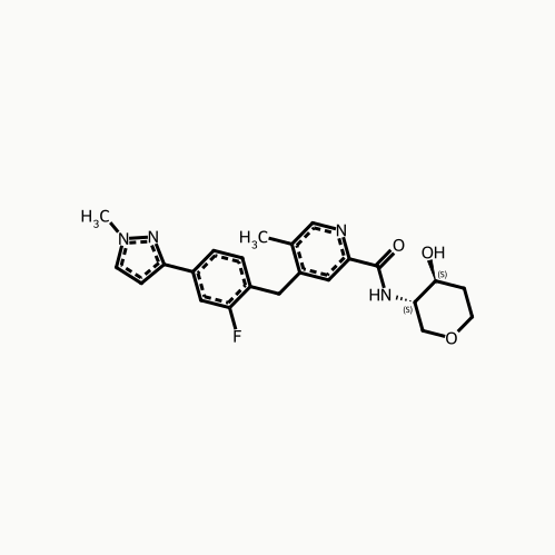 Cc1cnc(C(=O)N[C@H]2COCC[C@@H]2O)cc1Cc1ccc(-c2ccn(C)n2)cc1F